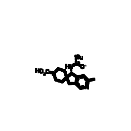 Cc1cc2c(cn1)CC1(CCN(C(=O)O)CC1)[C@@H]2N[S@+]([O-])C(C)(C)C